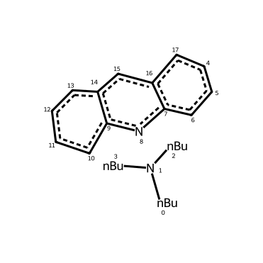 CCCCN(CCCC)CCCC.c1ccc2nc3ccccc3cc2c1